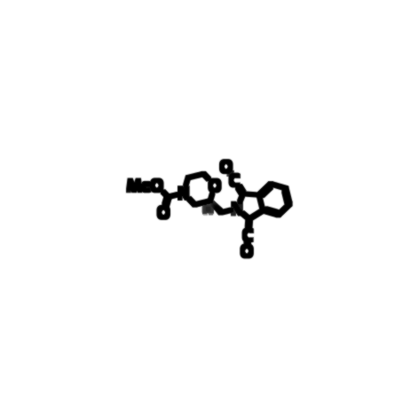 COC(=O)N1CCO[C@@H](Cn2c(=C=O)c3ccccc3c2=C=O)C1